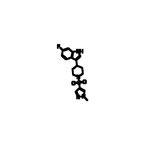 Cn1cc(S(=O)(=O)N2CCC(c3c[nH]c4cc(F)ccc34)CC2)cn1